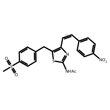 CC(=O)Nc1nc(/C=C\c2ccc([N+](=O)[O-])cc2)c(Cc2ccc(S(C)(=O)=O)cc2)s1